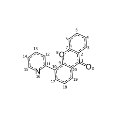 O=c1c2ccccc2oc2c(-c3ccccn3)cccc12